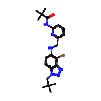 CC(C)(C)Cn1nnc2c(Br)c(NCc3cccc(NC(=O)C(C)(C)C)n3)ccc21